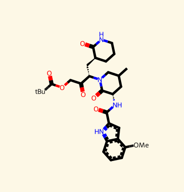 COc1cccc2[nH]c(C(=O)N[C@H]3CC(C)CN([C@@H](C[C@@H]4CCCNC4=O)C(=O)COC(=O)C(C)(C)C)C3=O)cc12